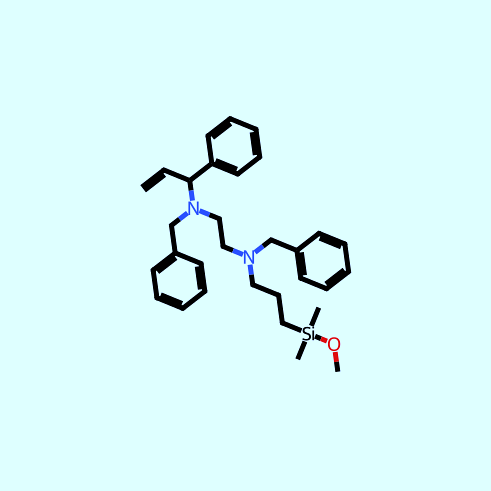 C=CC(c1ccccc1)N(CCN(CCC[Si](C)(C)OC)Cc1ccccc1)Cc1ccccc1